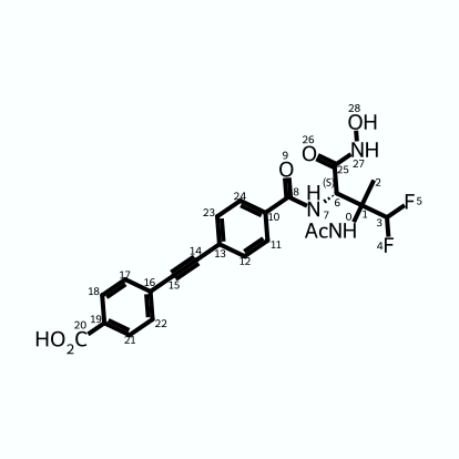 CC(=O)NC(C)(C(F)F)[C@H](NC(=O)c1ccc(C#Cc2ccc(C(=O)O)cc2)cc1)C(=O)NO